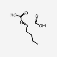 CCCCN=NC(=O)O.O=CO